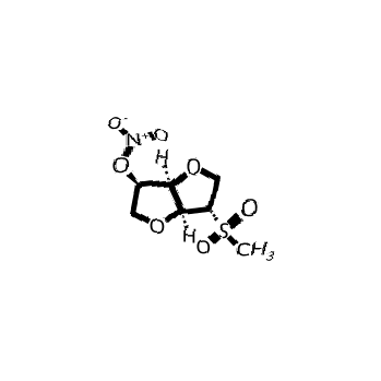 CS(=O)(=O)[C@H]1CO[C@H]2[C@@H]1OC[C@H]2O[N+](=O)[O-]